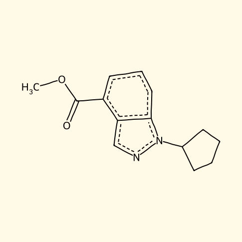 COC(=O)c1cccc2c1cnn2C1CCCC1